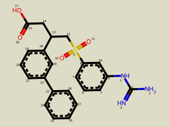 N=C(N)Nc1cccc(S(=O)(=O)CC(CC(=O)O)c2cccc(-c3ccccc3)c2)c1